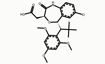 COc1cc(OC)c(C([C@@H]2O[C@@H](CC(=O)O)C(=O)Nc3ccc(Cl)cc32)C(C)(C)C)c(OC)c1